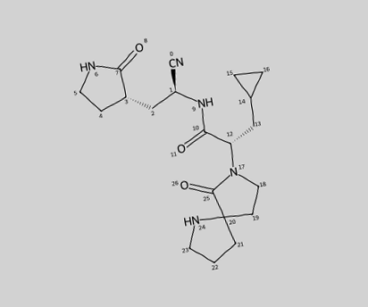 N#C[C@H](C[C@@H]1CCNC1=O)NC(=O)[C@H](CC1CC1)N1CCC2(CCCN2)C1=O